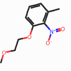 COCCOc1cccc(C)c1[N+](=O)[O-]